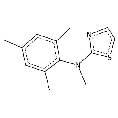 Cc1cc(C)c(N(C)c2nccs2)c(C)c1